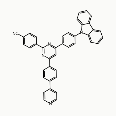 N#Cc1ccc(-c2nc(-c3ccc(-c4ccncc4)cc3)cc(-c3ccc(-n4c5ccccc5c5ccccc54)cc3)n2)cc1